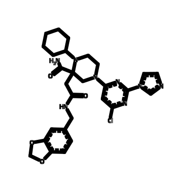 NC(=O)C1(CC(=O)NCc2ccc3c(c2)OCO3)CN(c2cc(Cl)nc(-n3ccnc3)n2)CCN1C1CCCCC1